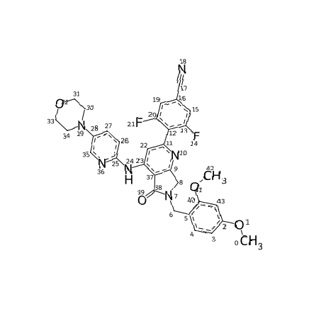 COc1ccc(CN2Cc3nc(-c4c(F)cc(C#N)cc4F)cc(Nc4ccc(N5CCOCC5)cn4)c3C2=O)c(OC)c1